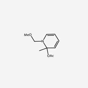 COCN1C=CC=CC1(C)OC(C)=O